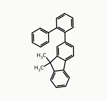 CC1(C)c2ccccc2-c2ccc(-c3[c]cccc3-c3ccccc3)cc21